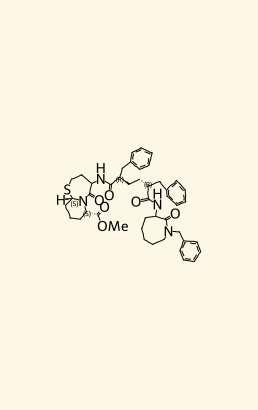 COC(=O)[C@@H]1CCC[C@@H]2SCCC(NC(=O)[C@H](CC[C@H](Cc3ccccc3)C(=O)NC3CCCCCN(Cc4ccccc4)C3=O)Cc3ccccc3)C(=O)N21